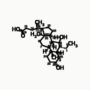 CC[C@H]1[C@H](O)[C@@H]2[C@H](CC[C@]3(C)[C@@H]([C@H](C)CCC(=O)O)CC[C@@H]23)[C@@]2(C)CC[C@@H](O)C[C@@H]12